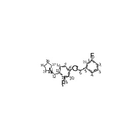 Fc1cccc(COc2ccc(CN3CCCC3)c(F)c2)c1